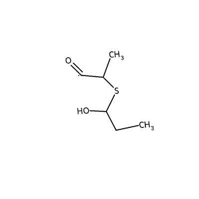 CCC(O)SC(C)[C]=O